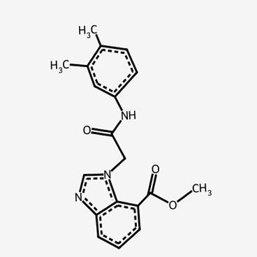 COC(=O)c1cccc2ncn(CC(=O)Nc3ccc(C)c(C)c3)c12